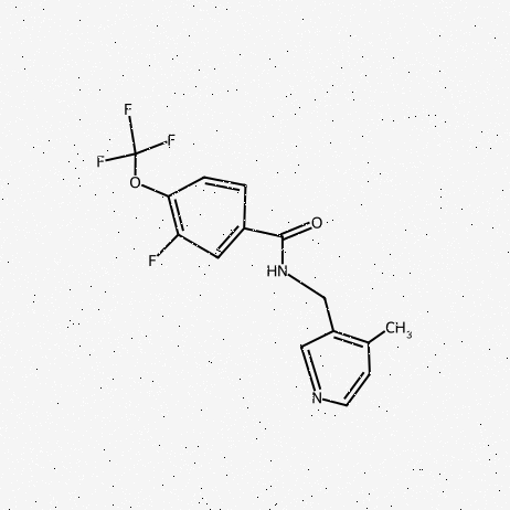 Cc1ccncc1CNC(=O)c1ccc(OC(F)(F)F)c(F)c1